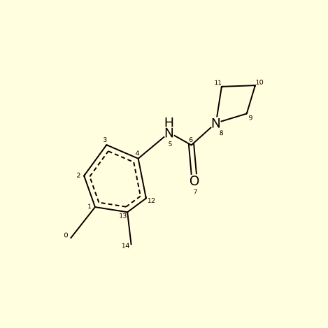 Cc1ccc(NC(=O)N2CCC2)cc1C